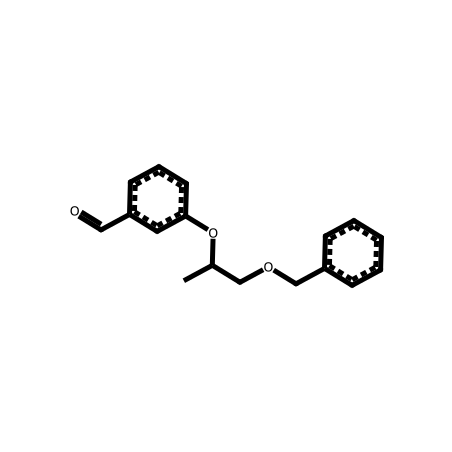 CC(COCc1ccccc1)Oc1cccc(C=O)c1